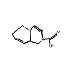 O=C(O)N1C=CN2CCC=CC2C1